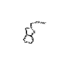 CCCCCC=C1C=c2ccccc2=N1